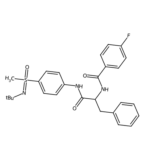 CC(C)(C)N=S(C)(=O)c1ccc(NC(=O)C(Cc2ccccc2)NC(=O)c2ccc(F)cc2)cc1